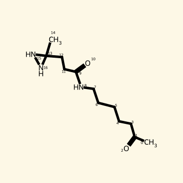 CC(=O)CCCCCNC(=O)CCC1(C)NN1